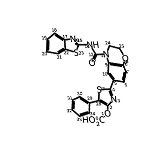 O=C(O)Oc1nc(-c2ccc3c(c2)N(C(=O)Nc2nc4ccccc4s2)CCO3)sc1-c1ccccc1